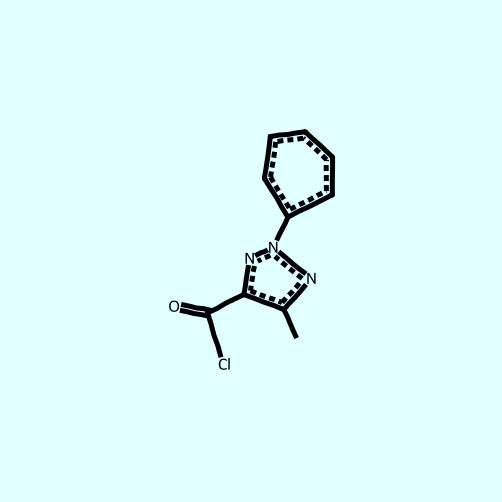 Cc1nn(-c2ccccc2)nc1C(=O)Cl